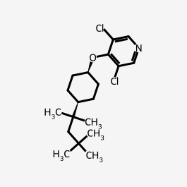 CC(C)(C)CC(C)(C)[C@H]1CC[C@@H](Oc2c(Cl)cncc2Cl)CC1